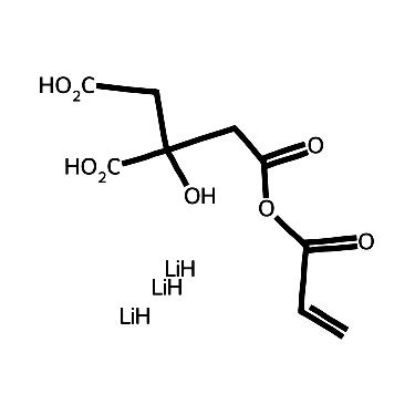 C=CC(=O)OC(=O)CC(O)(CC(=O)O)C(=O)O.[LiH].[LiH].[LiH]